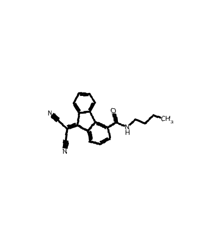 CCCCNC(=O)c1cccc2c1-c1ccccc1C2=C(C#N)C#N